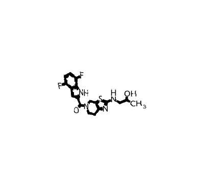 CC(O)CNc1nc2c(s1)CN(C(=O)c1cc3c(F)ccc(F)c3[nH]1)CC2